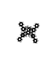 CC1(C)C(F)(F)c2c(N(c3ccc(-c4ccccc4)cc3)c3ccc(-c4ccccc4)cc3)c(C#N)c(C#N)c(N(c3ccc(-c4ccccc4)cc3)c3ccc(-c4ccccc4)cc3)c2C1(F)F